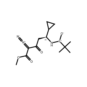 COC(=O)C(=[N+]=[N-])C(=O)C[C@H](N[S+]([O-])C(C)(C)C)C1CC1